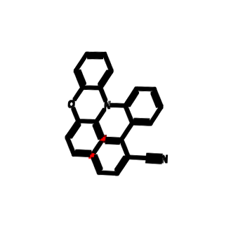 N#Cc1cccnc1-c1ccccc1N1c2ccccc2Oc2ccccc21